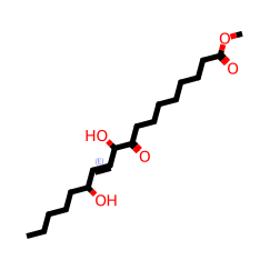 CCCCCC(O)/C=C/C(O)C(=O)CCCCCCCC(=O)OC